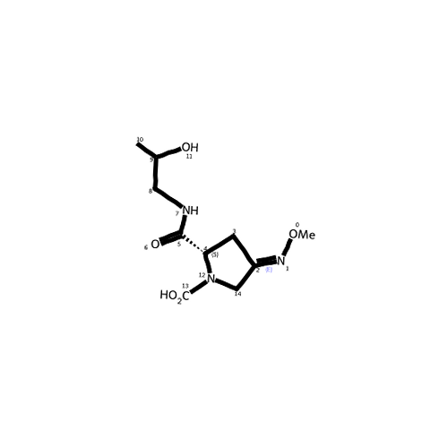 CO/N=C1\C[C@@H](C(=O)NCC(C)O)N(C(=O)O)C1